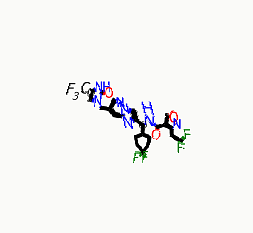 O=C(N[C@H](c1cn2ncc(CN3C[C@@H](C(F)(F)F)NC3=O)cc2n1)C1CCC(F)(F)CC1)c1conc1CC(F)F